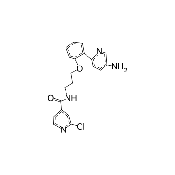 Nc1ccc(-c2ccccc2OCCCNC(=O)c2ccnc(Cl)c2)nc1